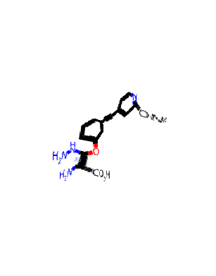 COc1cc(C#Cc2cccc(O/C(NN)=C(/N)C(=O)O)c2)ccn1